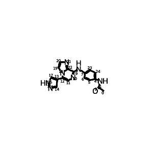 CC(=O)Nc1ccc(Nc2ncc(-c3cn[nH]c3)n3ccnc23)cc1